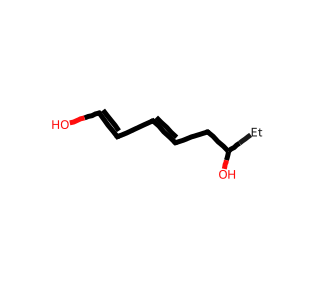 CCC(O)CC=CC=CO